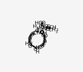 CC(C[C@H](Cc1ccc2c(c1)NC(=O)CCOCCOCCNC(=O)C#CC(=O)NCCOCCOCCC(=O)O2)NC(=O)OC(C)(C)C)C(=O)O